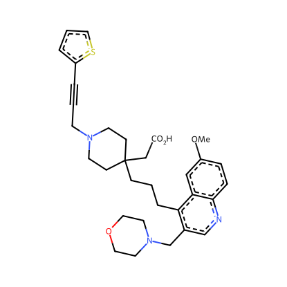 COc1ccc2ncc(CN3CCOCC3)c(CCCC3(CC(=O)O)CCN(CC#Cc4cccs4)CC3)c2c1